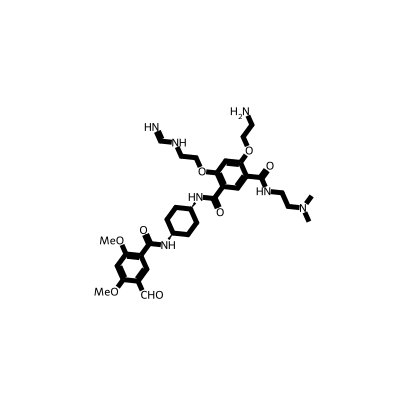 COc1cc(OC)c(C(=O)N[C@H]2CC[C@@H](NC(=O)c3cc(C(=O)NCCN(C)C)c(OCCN)cc3OCCNC=N)CC2)cc1C=O